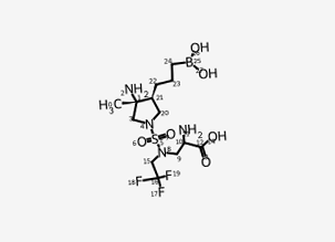 C[C@]1(N)CN(S(=O)(=O)N(CC(N)C(=O)O)CC(F)(F)F)C[C@@H]1CCCB(O)O